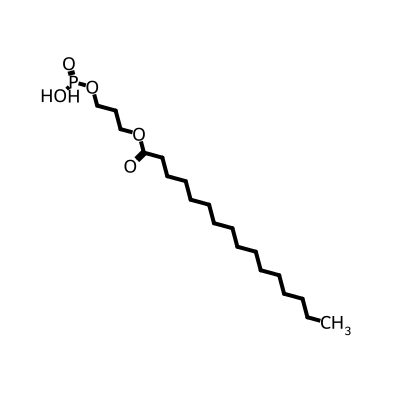 CCCCCCCCCCCCCCCC(=O)OCCCO[PH](=O)O